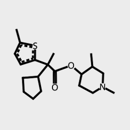 Cc1ccc(C(C)(C(=O)OC2CCN(C)CC2C)C2CCCC2)s1